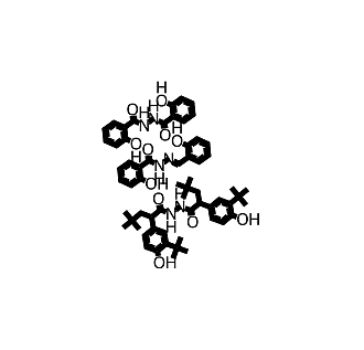 CC(C)(C)CC(C(=O)NNC(=O)C(CC(C)(C)C)c1ccc(O)c(C(C)(C)C)c1)c1ccc(O)c(C(C)(C)C)c1.O=C(NN=Cc1ccccc1O)c1ccccc1O.O=C(NNC(=O)c1ccccc1O)c1ccccc1O